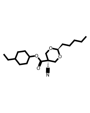 CCCCC[C@H]1OC[C@@](C#N)(C(=O)OC2CCC(CC)CC2)CO1